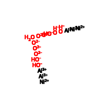 O.[Al+3].[Al+3].[Al+3].[Ni+2].[Ni+2].[Ni+2].[O-2].[O-2].[O-2].[O-2].[O-2].[OH-].[OH-].[OH-].[OH-].[OH-]